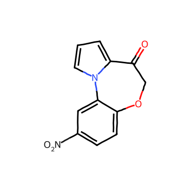 O=C1COc2ccc([N+](=O)[O-])cc2-n2cccc21